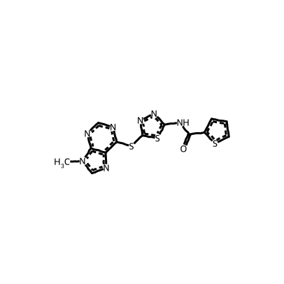 Cn1cnc2c(Sc3nnc(NC(=O)c4cccs4)s3)ncnc21